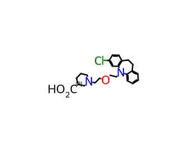 O=C(O)[C@@H]1CCCN(CCOCCN2c3ccccc3CCc3ccc(Cl)cc32)C1